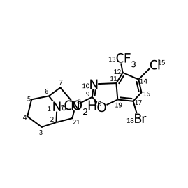 O=C(O)N1C2CCCC1CN(c1nc3c(C(F)(F)F)c(Cl)cc(Br)c3o1)C2